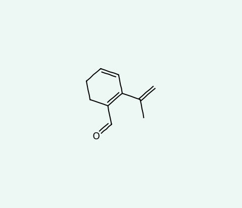 C=C(C)C1=C(C=O)CCC=C1